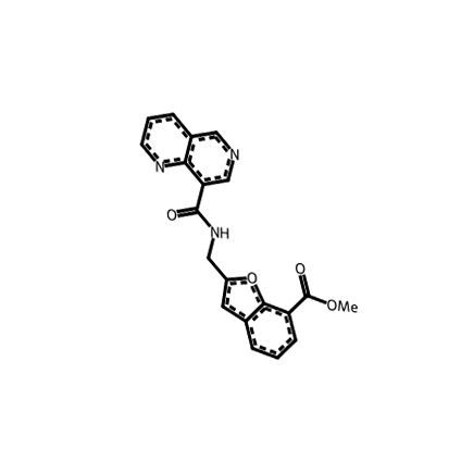 COC(=O)c1cccc2cc(CNC(=O)c3cncc4cccnc34)oc12